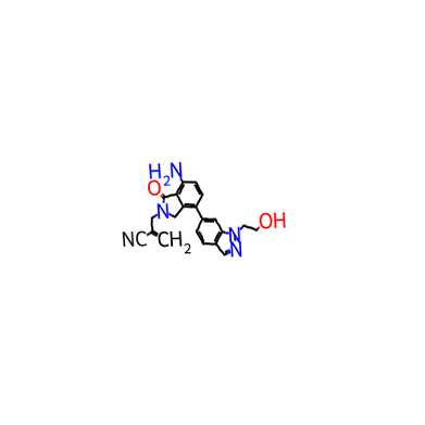 C=C(C#N)CN1Cc2c(-c3ccc4cnn(CCO)c4c3)ccc(N)c2C1=O